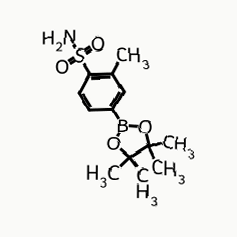 Cc1cc(B2OC(C)(C)C(C)(C)O2)ccc1S(N)(=O)=O